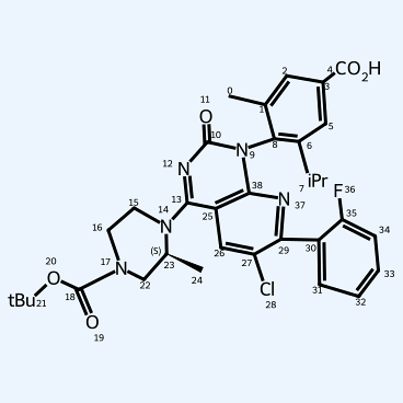 Cc1cc(C(=O)O)cc(C(C)C)c1-n1c(=O)nc(N2CCN(C(=O)OC(C)(C)C)C[C@@H]2C)c2cc(Cl)c(-c3ccccc3F)nc21